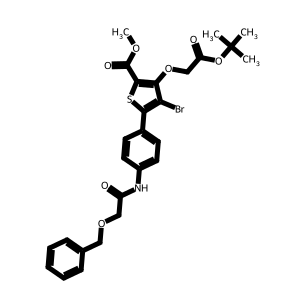 COC(=O)c1sc(-c2ccc(NC(=O)COCc3ccccc3)cc2)c(Br)c1OCC(=O)OC(C)(C)C